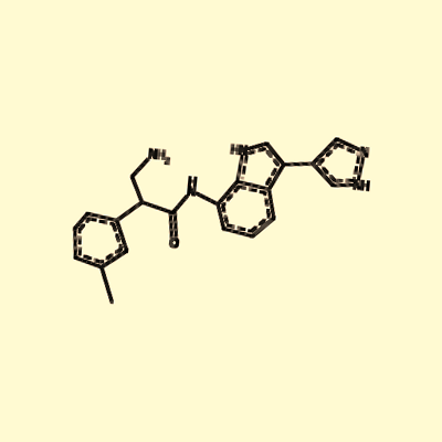 Cc1cccc(C(CN)C(=O)Nc2cccc3c(-c4cn[nH]c4)c[nH]c23)c1